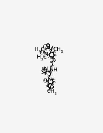 CCN1C(=O)C(C)(C)C(=O)N(C)c2cc(OCCCNC(CCn3ccc4oc(C)cc4c3=O)c3cscn3)ccc21